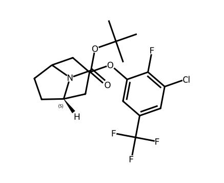 CC(C)(C)OC(=O)N1C2CC[C@H]1CC(Oc1cc(C(F)(F)F)cc(Cl)c1F)C2